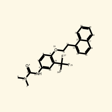 CN(C)C(=O)Nc1ccc(OCCc2cccc3ccccc23)c(C(F)(F)F)c1